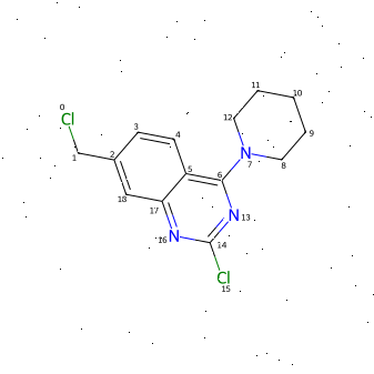 ClCc1ccc2c(N3CCCCC3)nc(Cl)nc2c1